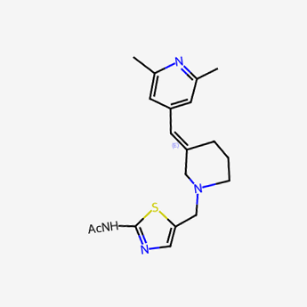 CC(=O)Nc1ncc(CN2CCC/C(=C\c3cc(C)nc(C)c3)C2)s1